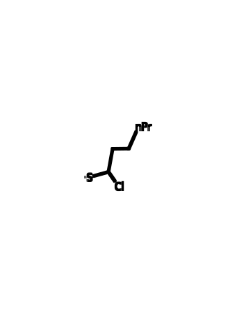 CCCCCC([S])Cl